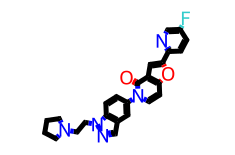 O=c1c2cc(-c3ccc(F)cn3)oc2ccn1-c1ccc2c(cnn2CCN2CCCC2)c1